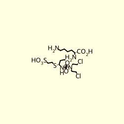 NCCCC[C@@H](N)C(=O)O.O=P1(N(CCCl)CCCl)N[C@H](SCCS(=O)(=O)O)CCO1